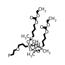 C=COC(=O)OCCCC[Si](C)(C)O[Si](C)(C)O[Si](C)(CCCOCCF)O[Si](C)(C)CCCCOC(=O)OC=C